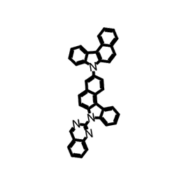 c1ccc2nc(-n3c4ccccc4c4c5ccc(-n6c7ccccc7c7c8ccccc8ccc76)cc5ccc43)ncc2c1